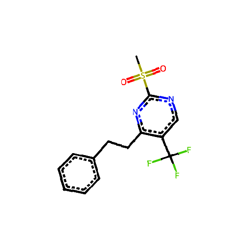 CS(=O)(=O)c1ncc(C(F)(F)F)c(CCc2ccccc2)n1